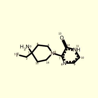 NC1(CF)CCN(c2nc[c][nH]c2=O)CC1